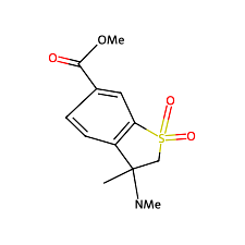 CNC1(C)CS(=O)(=O)c2cc(C(=O)OC)ccc21